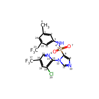 Cc1cc(NS(=O)(=O)c2cncn2-c2ncc(C(F)(F)F)cc2Cl)cc(C(F)(F)F)c1